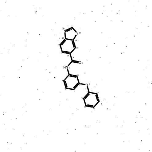 O=C(Nc1cccc(Oc2ccccc2)c1)c1ccc2ncsc2c1